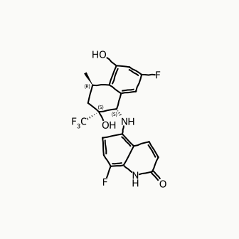 C[C@@H]1C[C@@](O)(C(F)(F)F)[C@@H](Nc2ccc(F)c3[nH]c(=O)ccc23)c2cc(F)cc(O)c21